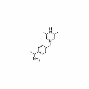 CC1CN(Cc2ccc(C(C)N)cc2)CC(C)N1